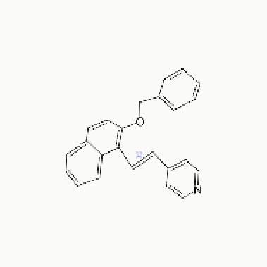 C(=C\c1c(OCc2ccccc2)ccc2ccccc12)/c1ccncc1